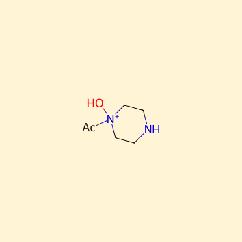 CC(=O)[N+]1(O)CCNCC1